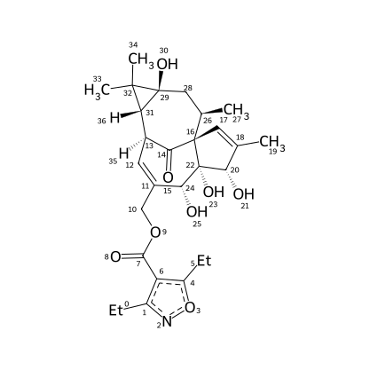 CCc1noc(CC)c1C(=O)OCC1=C[C@@H]2C(=O)[C@]3(C=C(C)[C@H](O)[C@@]3(O)[C@@H]1O)[C@H](C)C[C@]1(O)[C@H]2C1(C)C